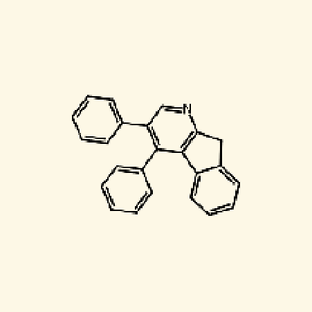 c1ccc(-c2cnc3c(c2-c2ccccc2)-c2ccccc2C3)cc1